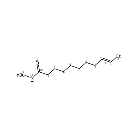 CC/C=C/CCCCCCCC(=O)NCCCC